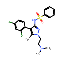 CN(C)CCn1nc(NS(=O)(=O)c2ccccc2)c(-c2ccc(Cl)cc2Cl)c1C(F)(F)F